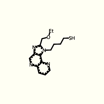 CCOCc1nc2cnc3cccnc3c2n1CCCCS